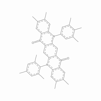 Cc1cc(C)c(-n2c3cc(C)c(C)cc3c(=O)c3cc4c(cc32)c(=O)c2cc(C)c(C)cc2n4-c2cc(C)c(C)c(C)c2)c(C)c1